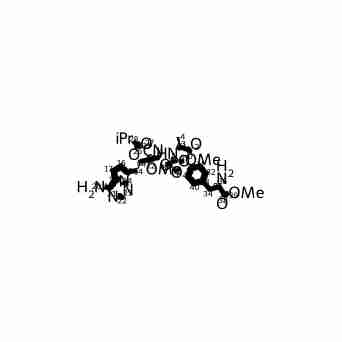 COC(=O)[C@H](C)NP(=O)(OC[C@@](C#N)(OC)[C@H](Cc1ccc2c(N)ncnn12)OC(=O)C(C)C)Oc1ccc(C[C@H](N)C(=O)OC)cc1